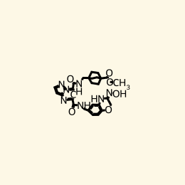 COC(=O)C12CCC(CNC(=O)c3cc(C(=O)NCc4ccc5c(c4)N/C(=N/O)CO5)nc4ccnn34)(CC1)CC2